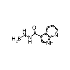 BNNC(=O)c1c[nH]c2ncccc12